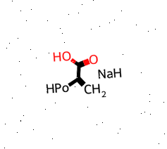 C=[C]([PoH])C(=O)O.[NaH]